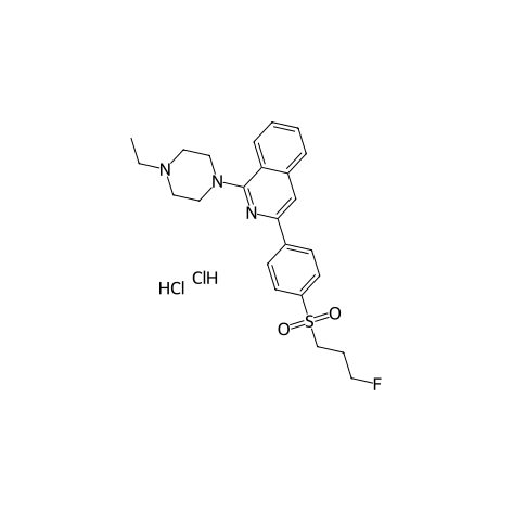 CCN1CCN(c2nc(-c3ccc(S(=O)(=O)CCCF)cc3)cc3ccccc23)CC1.Cl.Cl